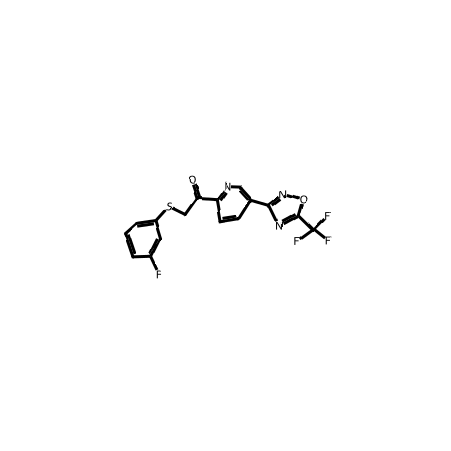 O=C(CSc1cccc(F)c1)c1ccc(-c2noc(C(F)(F)F)n2)cn1